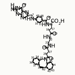 Nc1nc2ncc(CNc3ccc(C(=O)N[C@@H](CCC(=O)NCCNC(=O)CCC(=O)N4Cc5ccccc5C#Cc5ccccc54)C(=O)O)cc3)nc2c(=O)[nH]1